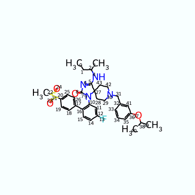 CCC(C)NC1=NC(=O)N(c2cc(F)ccc2-c2ccc(S(C)(=O)=O)cc2)C12CCN(Cc1cccc(OC(C)C)c1)CC2